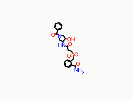 NC(=O)c1ccccc1CS(=O)(=O)C[CH]C(=O)NC1CN(C(=O)c2ccccc2)CC1O